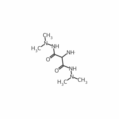 CN(C)NC(=O)C([NH])C(=O)NN(C)C